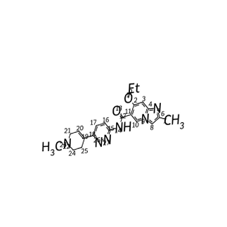 CCOc1cc2nc(C)cn2cc1C(=O)Nc1ccc(C2=CCN(C)CC2)nn1